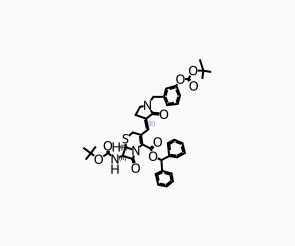 CC(C)(C)OC(=O)N[C@@H]1C(=O)N2C(C(=O)OC(c3ccccc3)c3ccccc3)=C(/C=C3\CCN(Cc4cccc(OC(=O)OC(C)(C)C)c4)C3=O)CS[C@H]12